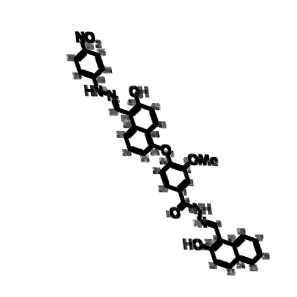 COc1cc(C(=O)N/N=C/c2c(O)ccc3ccccc23)ccc1Oc1cccc2c(/C=N/Nc3ccc([N+](=O)[O-])cc3)c(O)ccc12